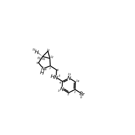 Brc1cnc(NCC2NC[C@H]3CC23)nc1